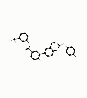 Cc1ccc(C(=O)Nc2cccc(C(F)(F)F)c2)cc1-c1ccc2nc(Nc3ccc(F)cc3)ncc2c1